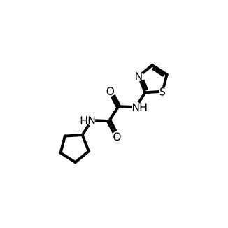 O=C(Nc1nccs1)C(=O)NC1CCCC1